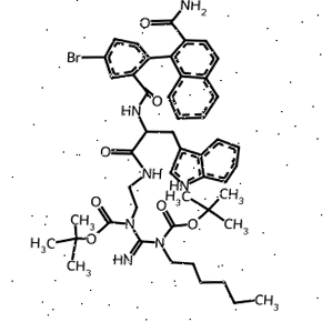 CCCCCCN(C(=N)N(CCNC(=O)C(Cc1c[nH]c2ccccc12)NC(=O)c1cc(Br)ccc1-c1c(C(N)=O)ccc2ccccc12)C(=O)OC(C)(C)C)C(=O)OC(C)(C)C